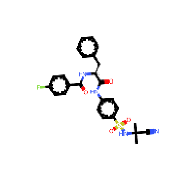 CC(C)(C#N)NS(=O)(=O)c1ccc(NC(=O)[C@H](Cc2ccccc2)NC(=O)c2ccc(F)cc2)cc1